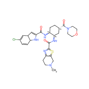 CN1CCc2nc(C(=O)N[C@@H]3C[C@@H](C(=O)N4CCOCC4)CC[C@@H]3NC(=O)C3=CC4C=C(Cl)C=CC4N3)sc2C1